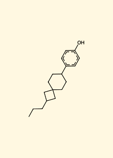 CCCC1CC2(CCC(c3ccc(O)cc3)CC2)C1